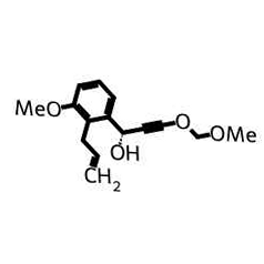 C=CCc1c(OC)cccc1[C@@H](O)C#COCOC